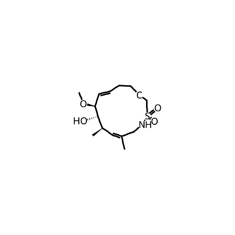 CO[C@H]1/C=C/CCCCS(=O)(=O)NC/C(C)=C\[C@@H](C)[C@@H]1O